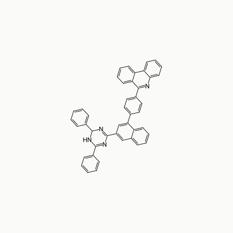 c1ccc(C2=NC(c3cc(-c4ccc(-c5nc6ccccc6c6ccccc56)cc4)c4ccccc4c3)=NC(c3ccccc3)N2)cc1